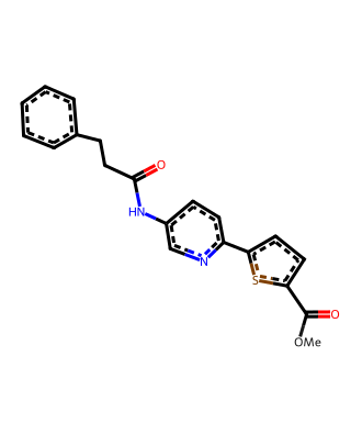 COC(=O)c1ccc(-c2ccc(NC(=O)CCc3ccccc3)cn2)s1